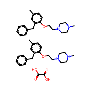 Cc1ccc(OCCN2CCN(C)CC2)c(Cc2ccccc2)c1.Cc1ccc(OCCN2CCN(C)CC2)c(Cc2ccccc2)c1.O=C(O)C(=O)O